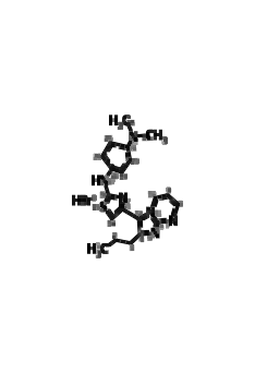 Br.CCCc1nc2ncccn2c1-c1csc(Nc2ccc(N(C)C)cc2)n1